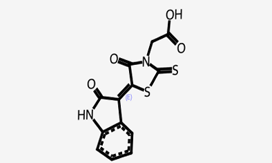 O=C(O)CN1C(=O)/C(=C2\C(=O)Nc3ccccc32)SC1=S